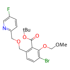 COCOc1c(Br)ccc(COCc2ccc(F)cn2)c1C(=O)OC(C)(C)C